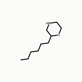 CCCCCCC1CNCCO1